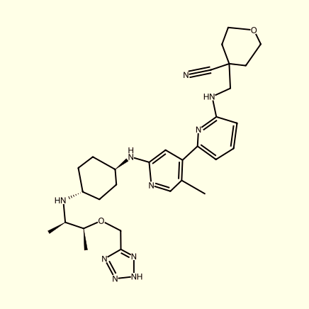 Cc1cnc(N[C@H]2CC[C@H](N[C@H](C)[C@H](C)OCc3nn[nH]n3)CC2)cc1-c1cccc(NCC2(C#N)CCOCC2)n1